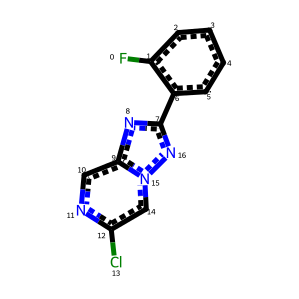 Fc1ccc[c]c1-c1nc2cnc(Cl)cn2n1